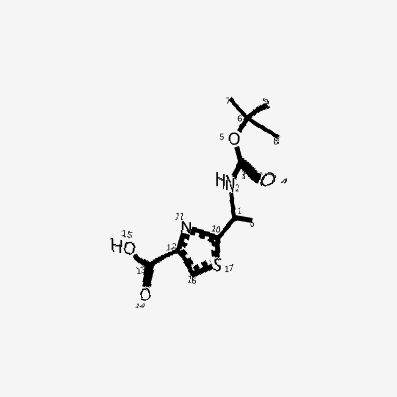 CC(NC(=O)OC(C)(C)C)c1nc(C(=O)O)cs1